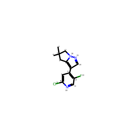 CC1(C)Cc2c(-c3cc(Cl)ncc3F)cnn2C1